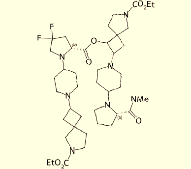 CCOC(=O)N1CCC2(CC(N3CCC(N4CC(F)(F)C[C@@H]4C(=O)OC4C(N5CCC(N6CCC[C@H]6C(=O)NC)CC5)CC45CCN(C(=O)OCC)C5)CC3)C2)C1